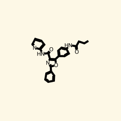 CCCC(=O)Nc1ccc(-c2oc(-c3ccccc3)nc2C(=O)Nc2ccccn2)cc1